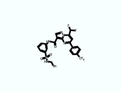 CC(C)CNS(=O)(=O)c1cccc(NC(=O)c2cnn3c(C(F)F)cc(-c4ccc(C(F)(F)F)cc4)nc23)c1